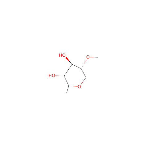 CO[C@@H]1COC(C)[C@H](O)[C@H]1O